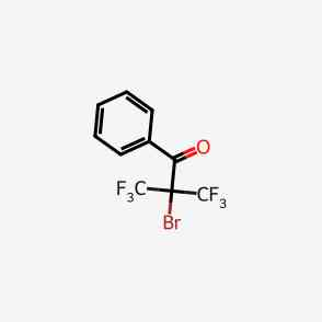 O=C(c1ccccc1)C(Br)(C(F)(F)F)C(F)(F)F